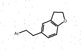 CC(=O)CCc1ccc2c(c1)CCO2